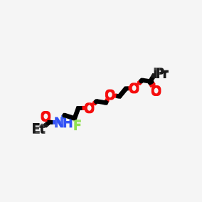 CCC(=O)NCC(F)COCCOCCOCC(=O)C(C)C